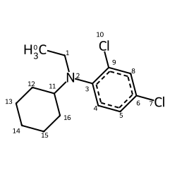 CCN(c1ccc(Cl)cc1Cl)C1CCCCC1